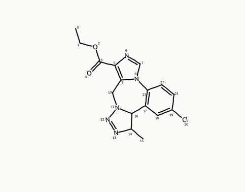 CCOC(=O)c1ncn2c1CN1N=NC(C)C1c1cc(Cl)ccc1-2